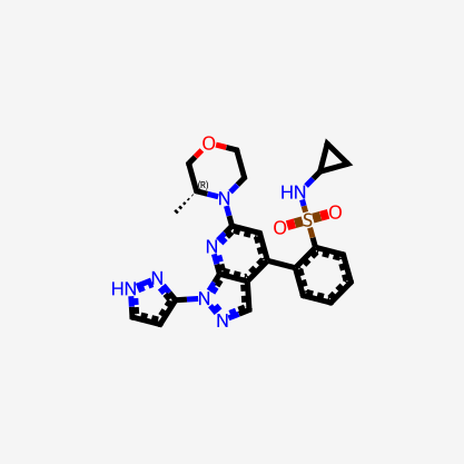 C[C@@H]1COCCN1c1cc(-c2ccccc2S(=O)(=O)NC2CC2)c2cnn(-c3cc[nH]n3)c2n1